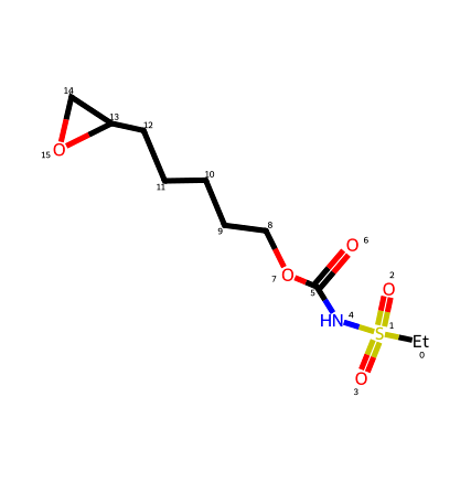 CCS(=O)(=O)NC(=O)OCCCCCC1CO1